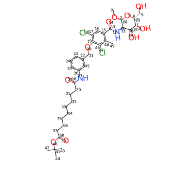 CO[C@H]1O[C@H](CO)[C@@H](O)[C@H](O)[C@H]1NC(=O)c1cc(Cl)c(OCc2cccc(NC(=O)CCCCCCCCC(=O)OC(C)(C)C)c2)c(Cl)c1C